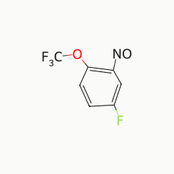 O=Nc1cc(F)ccc1OC(F)(F)F